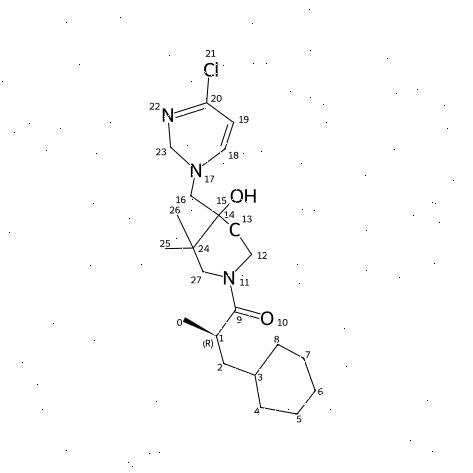 C[C@H](CC1CCCCC1)C(=O)N1CCC(O)(CN2C=CC(Cl)=NC2)C(C)(C)C1